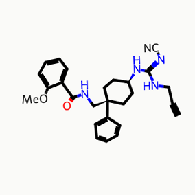 C#CCN/C(=N/C#N)N[C@H]1CC[C@](CNC(=O)c2ccccc2OC)(c2ccccc2)CC1